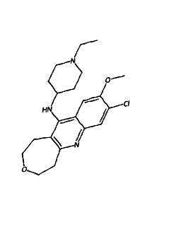 CCN1CCC(Nc2c3c(nc4cc(Cl)c(OC)cc24)CCOCC3)CC1